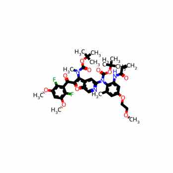 C=CC(=O)Nc1cc(OCCOC)cc(C)c1N(C(=O)OC(C)(C)C)c1cc2c(N(C)C(=O)OC(C)(C)C)c(C(=O)c3c(F)c(OC)cc(OC)c3F)oc2cn1